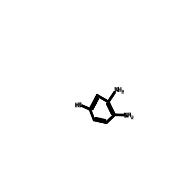 Nc1ccc(S)cc1N